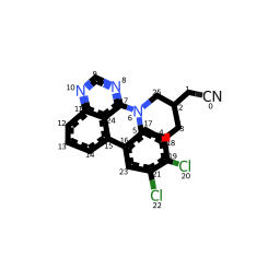 N#CCC1CCCN(c2ncnc3cccc(-c4ccc(Cl)c(Cl)c4)c23)C1